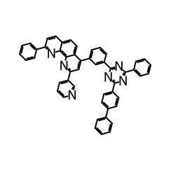 c1ccc(-c2ccc(-c3nc(-c4ccccc4)nc(-c4cccc(-c5cc(-c6cccnc6)nc6c5ccc5ccc(-c7ccccc7)nc56)c4)n3)cc2)cc1